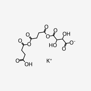 O=C(O)CCC(=O)OC(=O)CCC(=O)OC(=O)C(O)C(O)C(=O)[O-].[K+]